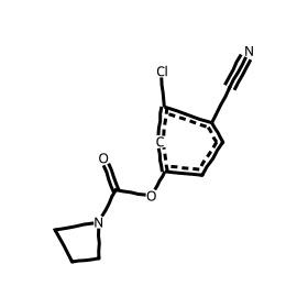 N#Cc1ccc(OC(=O)N2CCC2)cc1Cl